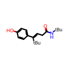 CC(C)(C)NC(=O)CC=C(c1ccc(O)cc1)C(C)(C)C